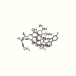 CC#C/C=C\C#C[C@H](OC1OC(C)C(SC)(C(=O)c2nccc3c2[nH]c2cc(I)ccc23)C(O)C1OC1CC(OC)C(NC(C)C)CO1)C1=C(NC(=O)OC)C(=O)C[C@H](O)/C1=C/CS(C)=S